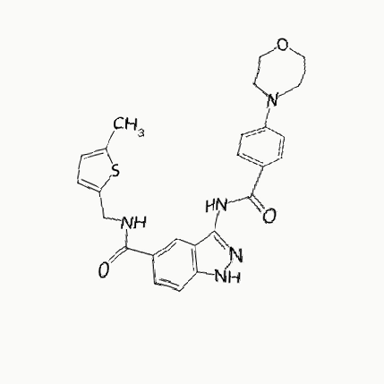 Cc1ccc(CNC(=O)c2ccc3[nH]nc(NC(=O)c4ccc(N5CCOCC5)cc4)c3c2)s1